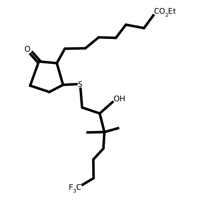 CCOC(=O)CCCCCCC1C(=O)CCC1SCC(O)C(C)(C)CCCC(F)(F)F